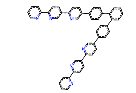 c1ccc(-c2ccc(-c3ccc(-c4ccc(-c5ccccc5-c5ccc(-c6ccc(-c7ccc(-c8ccccn8)nc7)nc6)cc5)cc4)cn3)cn2)nc1